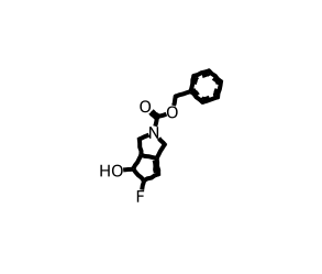 O=C(OCc1ccccc1)N1CC2=CC(F)C(O)C2C1